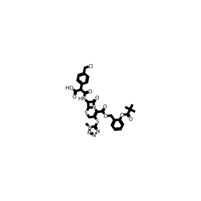 Cn1nnnc1SC1=C(C(=O)OCc2ccccc2OC(=O)C(C)(C)C)N2C(=O)C(NC(=O)C(C(=O)O)c3ccc(CCl)cc3)C2SC1